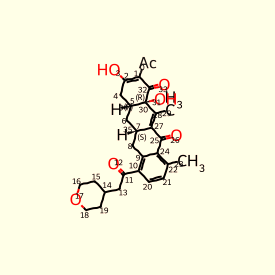 CC(=O)C1=C(O)C[C@H]2C[C@H]3Cc4c(C(=O)CC5CCOCC5)ccc(C)c4C(=O)C3=C(C)[C@@]2(O)C1=O